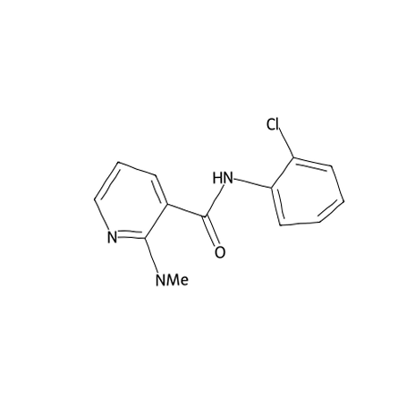 CNc1ncccc1C(=O)Nc1ccccc1Cl